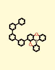 c1ccc(-c2cccc(-c3cccc(-c4cccc(-c5ccc6c7c5Oc5ccccc5B7c5ccccc5O6)c4)c3)c2)cc1